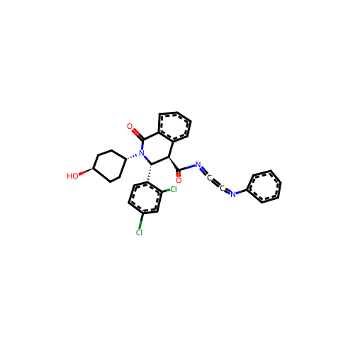 O=C(N=C=C=Nc1ccccc1)[C@@H]1c2ccccc2C(=O)N([C@H]2CC[C@H](O)CC2)[C@H]1c1ccc(Cl)cc1Cl